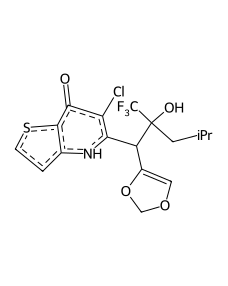 CC(C)CC(O)(C(C1=COCO1)c1[nH]c2ccsc2c(=O)c1Cl)C(F)(F)F